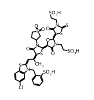 C/C(C=C1Sc2ccc(Cl)cc2N1Cc1ccccc1S(=O)(=O)O)=c1\s/c(=c2/o/c(=C3/SC(=S)N(CCS(=O)(=O)O)C3=O)n(CCS(=O)(=O)O)c2=O)n(C2CCS(=O)(=O)C2)c1=O